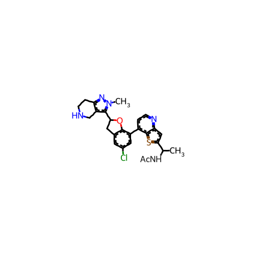 CC(=O)NC(C)c1cc2nccc(-c3cc(Cl)cc4c3OC(c3c5c(nn3C)CCNC5)C4)c2s1